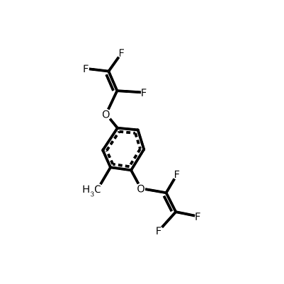 Cc1cc(OC(F)=C(F)F)ccc1OC(F)=C(F)F